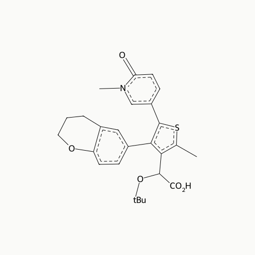 Cc1sc(-c2ccc(=O)n(C)c2)c(-c2ccc3c(c2)CCCO3)c1C(OC(C)(C)C)C(=O)O